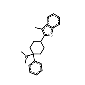 Cc1c(C2CCC(c3ccccc3)(N(C)C)CC2)sc2ccccc12